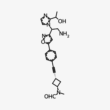 CC(O)c1nccn1C(CN)c1cc(-c2ccc(C#C[C@H]3C[C@H](N(C)C=O)C3)cc2)on1